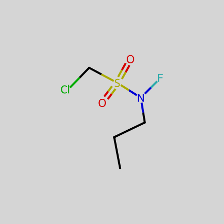 CCCN(F)S(=O)(=O)CCl